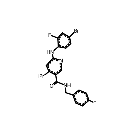 CC(C)c1cc(Nc2ccc(Br)cc2F)ncc1C(=O)NCc1ccc(F)cc1